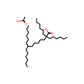 CC(=O)O.CCCCCCC(CCCCCC)CCCCCC(CCCCCC)(CCCCCC)C(=O)O